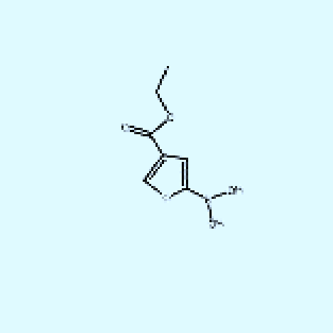 CCOC(=O)c1coc(B(O)O)c1